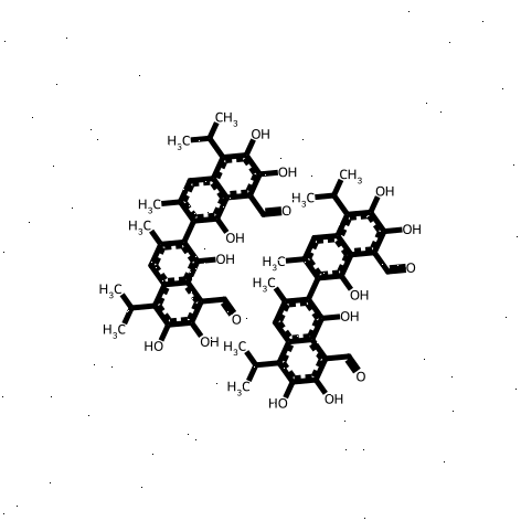 Cc1cc2c(C(C)C)c(O)c(O)c(C=O)c2c(O)c1-c1c(C)cc2c(C(C)C)c(O)c(O)c(C=O)c2c1O.Cc1cc2c(C(C)C)c(O)c(O)c(C=O)c2c(O)c1-c1c(C)cc2c(C(C)C)c(O)c(O)c(C=O)c2c1O